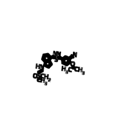 C=S(C)(=O)CCN[C@@H]1CCc2c(-c3nnc(-c4ccc(OC(C)C)c(C#N)c4)s3)cccc21